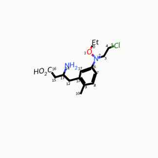 CCON(CCCl)c1ccc(C)c(CC(N)CC(=O)O)c1